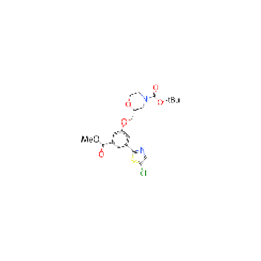 COC(=O)c1cc(OC[C@H]2CN(C(=O)OC(C)(C)C)CCO2)cc(-c2ncc(Cl)s2)c1